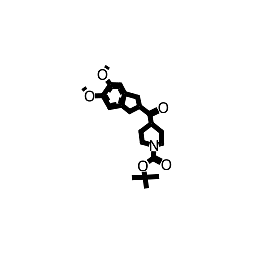 COc1cc2c(cc1OC)CC(C(=O)C1CCN(C(=O)OC(C)(C)C)CC1)C2